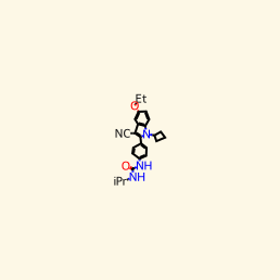 CCOc1ccc2c(c1)c(C#N)c(-c1ccc(NC(=O)NC(C)C)cc1)n2C1CCC1